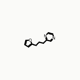 [CH](CCc1cnccn1)c1ccco1